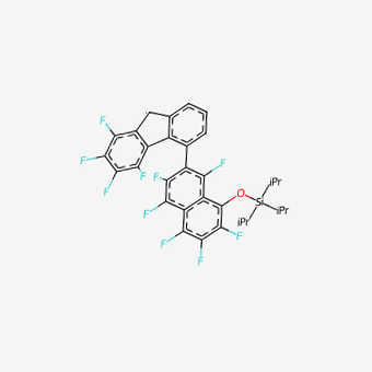 CC(C)[Si](Oc1c(F)c(F)c(F)c2c(F)c(F)c(-c3cccc4c3-c3c(F)c(F)c(F)c(F)c3[CH]4)c(F)c12)(C(C)C)C(C)C